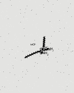 CCCCCCCCCCCCCCCCN(C(N)=O)[C@@H](CCCCN)C(=O)NCCCCCCCCCCCC.Cl